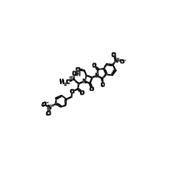 C[C@@H](O)C(C(=O)OCc1ccc([N+](=O)[O-])cc1)N1C(=O)C(N2C(=O)c3ccc([N+](=O)[O-])cc3C2=O)C1C=O